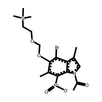 CC(=O)n1cc(C)c2c(Br)c(OCOCC[Si](C)(C)C)c(C)c([N+](=O)[O-])c21